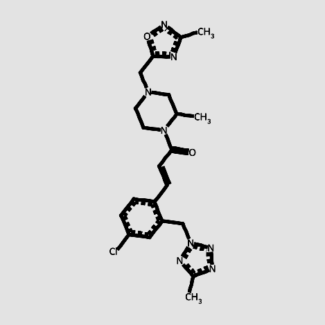 Cc1noc(CN2CCN(C(=O)C=Cc3ccc(Cl)cc3Cn3nnc(C)n3)C(C)C2)n1